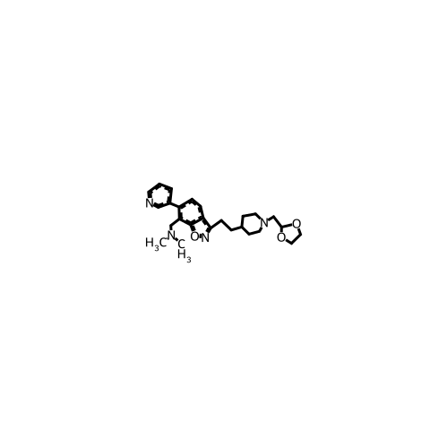 CN(C)Cc1c(-c2cccnc2)ccc2c(CCC3CCN(CC4OCCO4)CC3)noc12